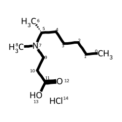 CCCCC[C@@H](C)N(C)CCC(=O)O.Cl